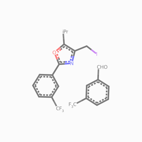 CC(C)c1oc(-c2cccc(C(F)(F)F)c2)nc1CI.O=Cc1cccc(C(F)(F)F)c1